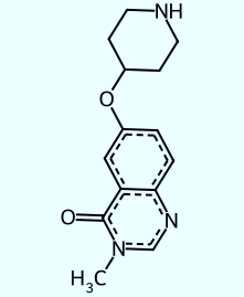 Cn1cnc2ccc(OC3CCNCC3)cc2c1=O